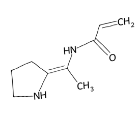 C=CC(=O)NC(C)=C1CCCN1